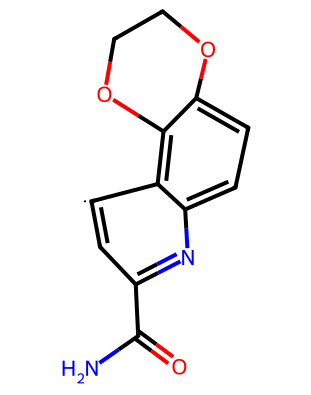 NC(=O)c1c[c]c2c3c(ccc2n1)OCCO3